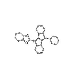 c1ccc(-n2c3ccccc3c3c2c2ccccc2n3-c2nc3ccccc3o2)cc1